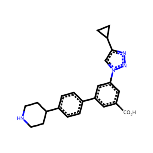 O=C(O)c1cc(-c2ccc(C3CCNCC3)cc2)cc(-n2cc(C3CC3)nn2)c1